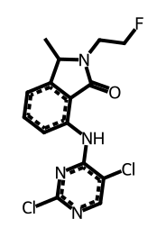 CC1c2cccc(Nc3nc(Cl)ncc3Cl)c2C(=O)N1CCF